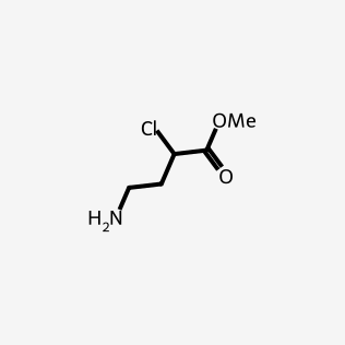 COC(=O)C(Cl)CCN